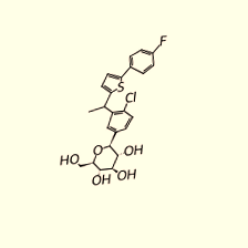 CC(c1ccc(-c2ccc(F)cc2)s1)c1cc([C@@H]2O[C@H](CO)[C@@H](O)[C@H](O)[C@H]2O)ccc1Cl